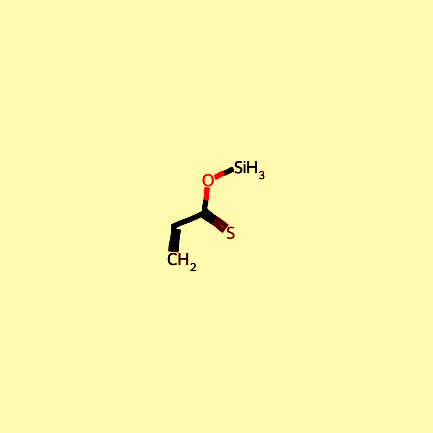 C=CC(=S)O[SiH3]